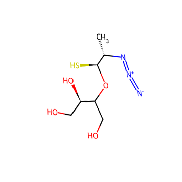 C[C@H](N=[N+]=[N-])[C@H](S)OC(CO)[C@H](O)CO